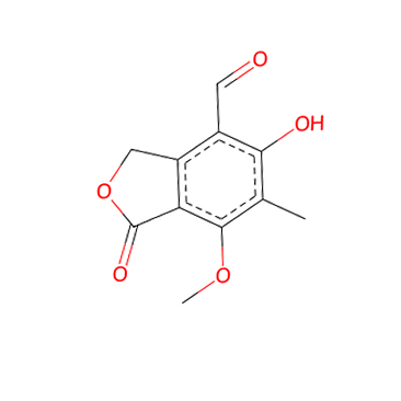 COc1c(C)c(O)c(C=O)c2c1C(=O)OC2